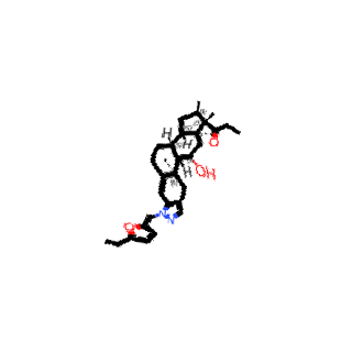 CCC(=O)[C@@]1(C)[C@H](C)C[C@H]2[C@@H]3CCC4=Cc5c(cnn5Cc5ccc(CC)o5)C[C@]4(C)[C@H]3[C@@H](O)C[C@@]21C